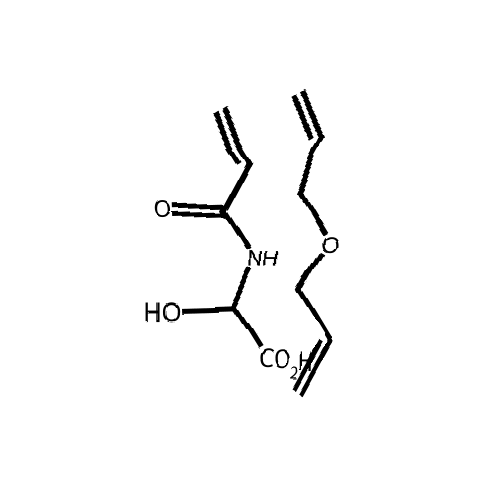 C=CC(=O)NC(O)C(=O)O.C=CCOCC=C